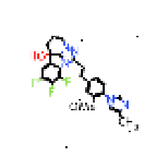 COc1cc(C=Cc2nc3n(n2)CCCC3(O)c2cc(F)c(F)c(F)c2)ccc1-n1cnc(C)c1